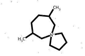 CC1CCC(C)C[N+]2(CCCC2)C1